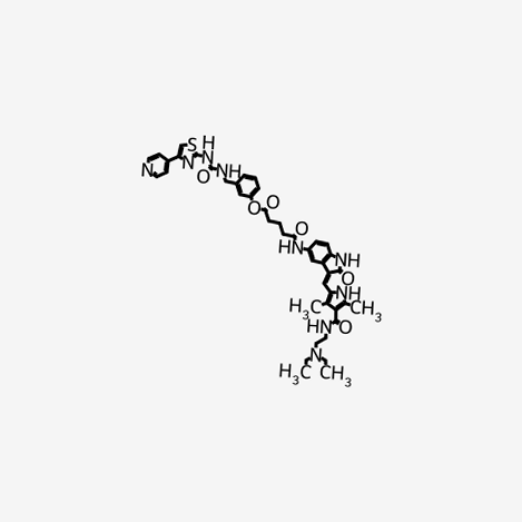 CCN(CC)CCNC(=O)c1c(C)[nH]c(/C=C2\C(=O)Nc3ccc(NC(=O)CCCC(=O)Oc4cccc(CNC(=O)Nc5nc(-c6ccncc6)cs5)c4)cc32)c1C